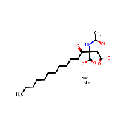 CCCCCCCCCCCC(=O)C(CC(=O)[O-])(NC(C)O)C(=O)[O-].[Na+].[Na+]